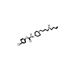 C=CCCNCCCC[C@H]1CC[C@H](CNC(=O)Oc2ccc(Cl)cc2)CC1